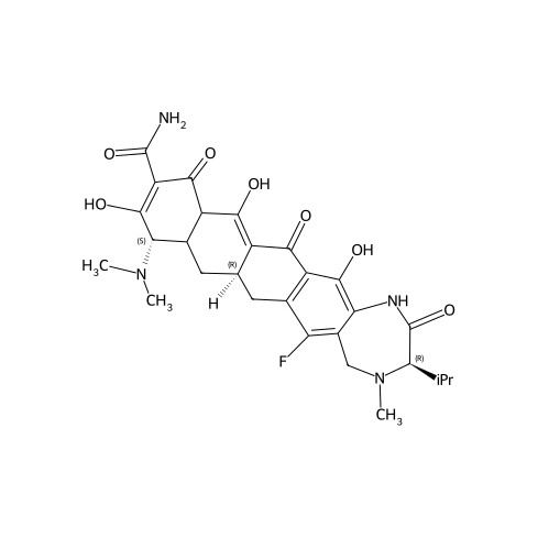 CC(C)[C@@H]1C(=O)Nc2c(O)c3c(c(F)c2CN1C)C[C@H]1CC2C(C(=O)C(C(N)=O)=C(O)[C@H]2N(C)C)C(O)=C1C3=O